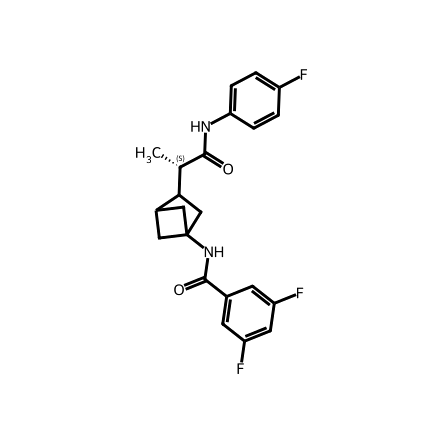 C[C@H](C(=O)Nc1ccc(F)cc1)C1CC2(NC(=O)c3cc(F)cc(F)c3)CC1C2